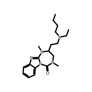 CCCCN(CC)CCC1CN(C)C(=O)n2c(nc3ccccc32)N1C